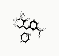 C1COCCN1.CCN(Cc1cccc([N+](=O)[O-])c1)C(=O)N(C)C